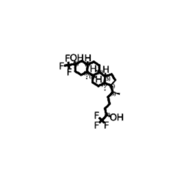 C[C@@H](CCC[C@@H](O)C(F)(F)F)[C@@H]1CC[C@H]2[C@@H]3CC[C@H]4C[C@](O)(C(F)(F)F)CC[C@]4(C)[C@H]3CC[C@@]21C